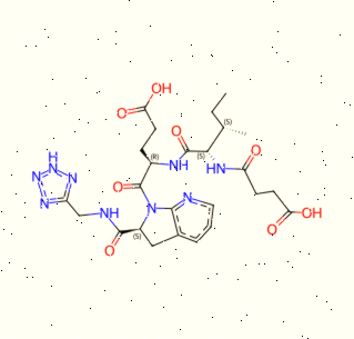 CC[C@H](C)[C@H](NC(=O)CCC(=O)O)C(=O)N[C@H](CCC(=O)O)C(=O)N1c2ncccc2C[C@H]1C(=O)NCc1nn[nH]n1